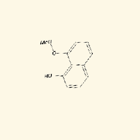 COOc1cccc2cccc(O)c12